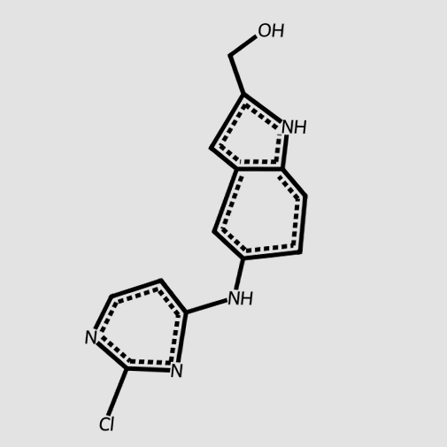 OCc1cc2cc(Nc3ccnc(Cl)n3)ccc2[nH]1